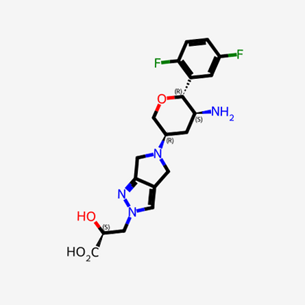 N[C@H]1C[C@@H](N2Cc3cn(C[C@H](O)C(=O)O)nc3C2)CO[C@@H]1c1cc(F)ccc1F